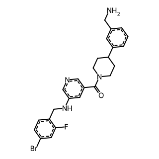 NCc1cccc(C2CCN(C(=O)c3cncc(NCc4ccc(Br)cc4F)c3)CC2)c1